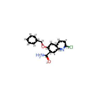 NC(=O)c1cc2nc(Cl)ccc2cc1OCc1ccccc1